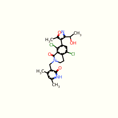 Cc1cc(C)c(CN2CCc3c(Cl)cc(-c4c(C(C)O)noc4C)c(Cl)c3C2=O)c(=O)[nH]1